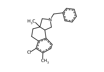 Cc1ccc2c(c1Cl)CCC1(C)CN(Cc3ccccc3)CC21